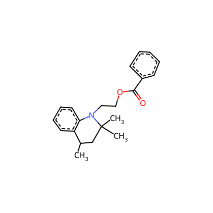 CC1CC(C)(C)N(CCOC(=O)c2ccccc2)c2ccccc21